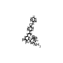 CN1C(N)=NC(C)(c2cc(C=C(F)c3cnc(OCc4ncccn4)cn3)cc(F)c2F)CS1(=O)=O